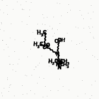 C=[N+](CCCN(CCCCCCCC(=O)O)CCCCCCCC(=O)OC(CC)CCCCCCCC)/C(=N/C#N)N(C)C